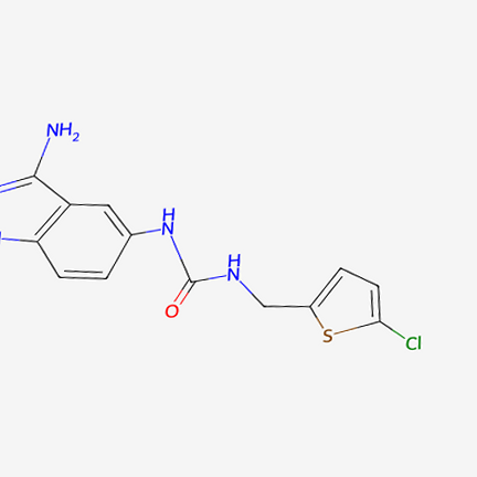 Nc1n[nH]c2ccc(NC(=O)NCc3ccc(Cl)s3)cc12